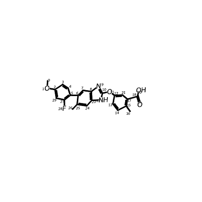 COc1ccc(-c2cc3nc(Oc4ccc(C)c(C(=O)O)c4)[nH]c3cc2C)c(F)c1